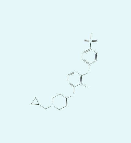 CS(=O)(=O)c1ccc(Nc2ncnc(OC3CCN(CC4CC4)CC3)c2[N+](=O)[O-])cc1